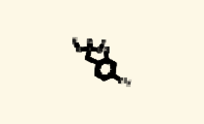 [CH2]c1ccc(CP(=O)(OF)OF)c(Cl)c1